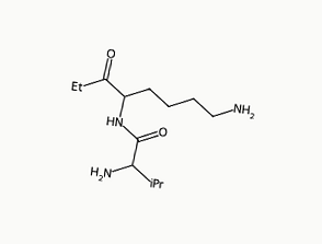 CCC(=O)C(CCCCN)NC(=O)C(N)C(C)C